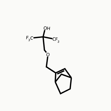 OC(COCC1=CC2CCC1C2)(C(F)(F)F)C(F)(F)F